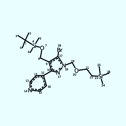 CC(C)(C)[Si](C)(C)OCc1c(-c2ccncc2)nn(COCC[Si](C)(C)C)c1Br